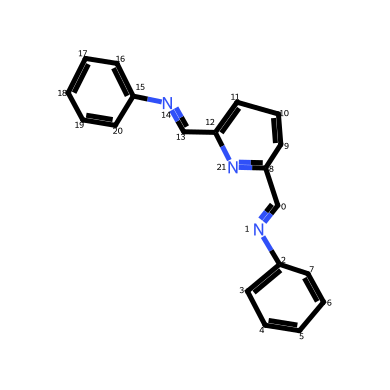 C(=N\c1ccccc1)/c1cccc(/C=N/c2ccccc2)n1